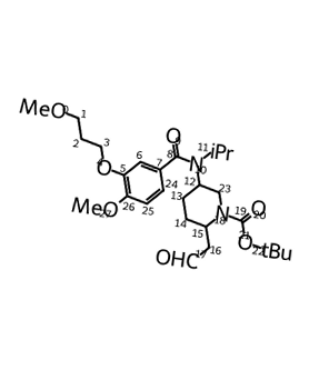 COCCCOc1cc(C(=O)N(C(C)C)C2CCC(CC=O)N(C(=O)OC(C)(C)C)C2)ccc1OC